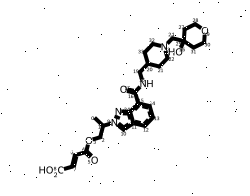 CC(COC(=O)/C=C/C(=O)O)n1cc2cccc(C(=O)NCC3CCN(CC4(O)CCOCC4)CC3)c2n1